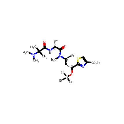 CCOC(=O)c1csc([C@@H](C[C@H](C(C)C)N(C)C(=O)[C@@H](NC(=O)C(C)(C)N(C)C)C(C)C)O[Si](CC)(CC)CC)n1